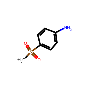 [CH2]S(=O)(=O)c1ccc(N)cc1